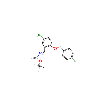 C=C(/N=C/c1cc(Br)ccc1OCc1ccc(F)cc1)O[Si](C)(C)C